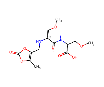 COCC(NC(=O)[C@H](COC)NCc1oc(=O)oc1C)C(=O)O